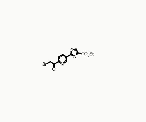 CCOC(=O)c1csc(-c2ccc(C(=O)CBr)nc2)n1